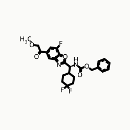 COCC(=O)c1cc(F)c2oc([C@@H](NC(=O)OCc3ccccc3)C3CCC(F)(F)CC3)nc2c1